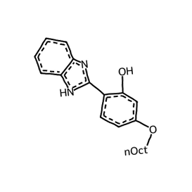 CCCCCCCCOc1ccc(-c2nc3ccccc3[nH]2)c(O)c1